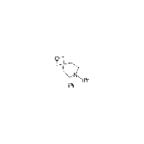 CC(C)C1CC2(CCN1C(C)C)COC2